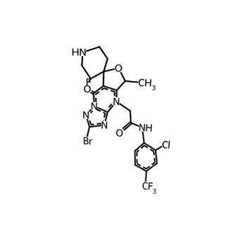 CC1OC2(CCNCC2F)c2c1n(CC(=O)Nc1ccc(C(F)(F)F)cc1Cl)c1nc(Br)nn1c2=O